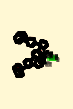 CCC1=Cc2c(-c3ccc(C45CC6CC(CC(C6)C4)C5)cc3)cccc2[CH]1[Zr]([CH3])([CH3])(=[SiH2])[CH]1C(C2CCCCC2)=Cc2c(-c3ccc(C45CC6CC(CC(C6)C4)C5)cc3)cccc21.Cl.Cl